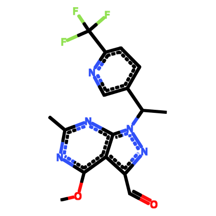 COc1nc(C)nc2c1c(C=O)nn2C(C)c1ccc(C(F)(F)F)nc1